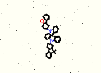 CC1(C)c2ccccc2-c2ccc(N3c4ccccc4B4c5ccccc5N(c5ccc6oc7ccccc7c6c5)c5cccc3c54)cc21